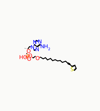 C[C@H](Cn1cnc2c(N)ncnc21)OCP(=O)(O)OCCOCCCCCCCCCCCC#Cc1cccs1